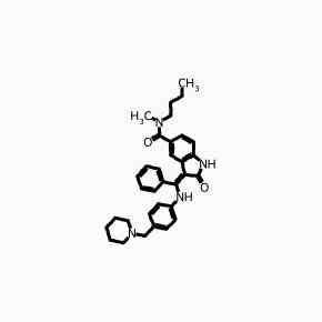 CCCCN(C)C(=O)c1ccc2c(c1)/C(=C(/Nc1ccc(CN3CCCCC3)cc1)c1ccccc1)C(=O)N2